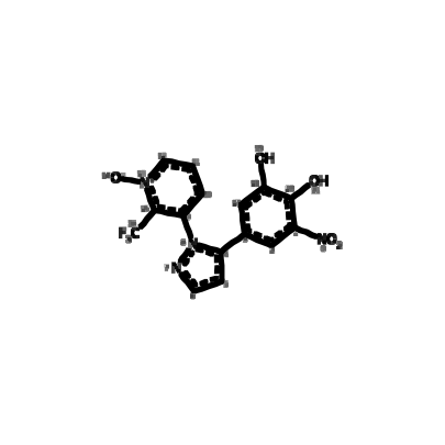 O=[N+]([O-])c1cc(-c2ccnn2-c2ccc[n+]([O-])c2C(F)(F)F)cc(O)c1O